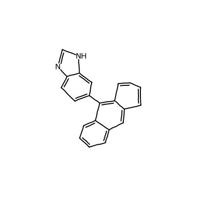 c1ccc2c(-c3ccc4nc[nH]c4c3)c3ccccc3cc2c1